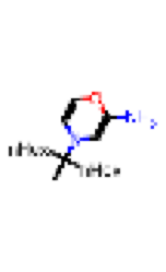 CCCCCCC(C)(CCCCCC)N1C=COC(N)=C1